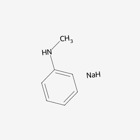 CNc1ccccc1.[NaH]